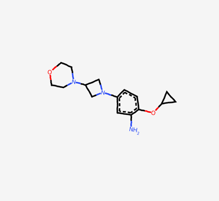 Nc1cc(N2CC(N3CCOCC3)C2)ccc1OC1CC1